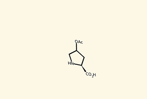 CC(=O)OC1CN[C@H](C(=O)O)C1